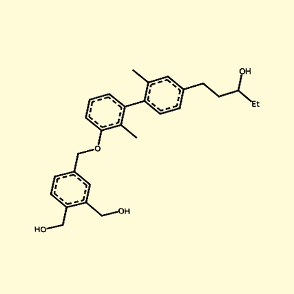 CCC(O)CCc1ccc(-c2cccc(OCc3ccc(CO)c(CO)c3)c2C)c(C)c1